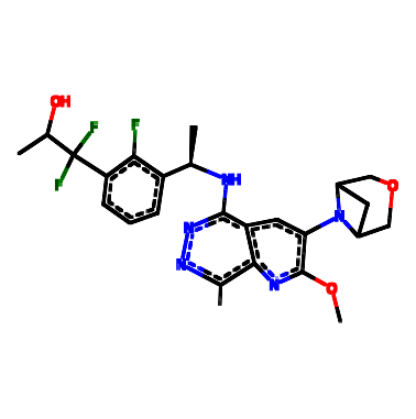 COc1nc2c(C)nnc(N[C@H](C)c3cccc(C(F)(F)C(C)O)c3F)c2cc1N1C2COCC1C2